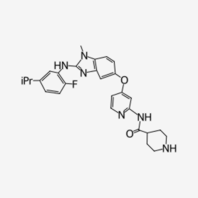 CC(C)c1ccc(F)c(Nc2nc3cc(Oc4ccnc(NC(=O)C5CCNCC5)c4)ccc3n2C)c1